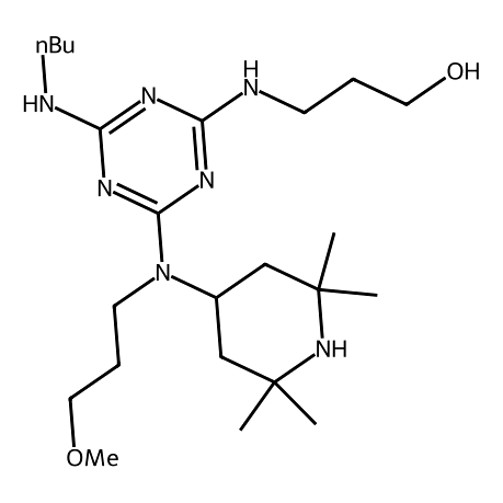 CCCCNc1nc(NCCCO)nc(N(CCCOC)C2CC(C)(C)NC(C)(C)C2)n1